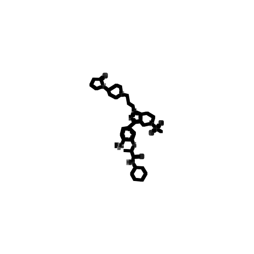 CC(Sc1cc(-c2nn(CCCN3CCC(N4CCCC4=O)CC3)c3c2CN(S(C)(=O)=O)CC3)ccc1C(F)(F)F)C(=O)NC1CCCCC1